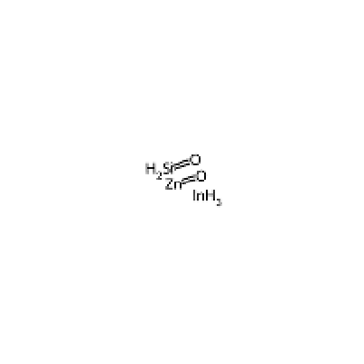 O=[SiH2].[InH3].[O]=[Zn]